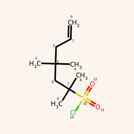 C=CCC(C)(C)CC(C)(C)S(=O)(=O)Cl